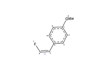 COc1ccc(/C=C\F)cc1